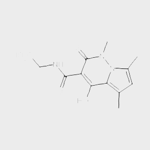 Cc1cc(C)n2c1c(O)c(C(=O)NCC(=O)O)c(=O)n2C